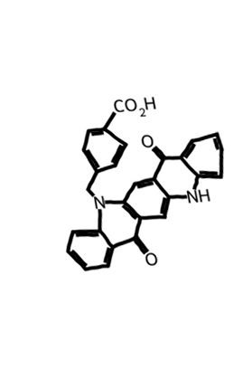 O=C(O)c1ccc(Cn2c3ccccc3c(=O)c3cc4[nH]c5ccccc5c(=O)c4cc32)cc1